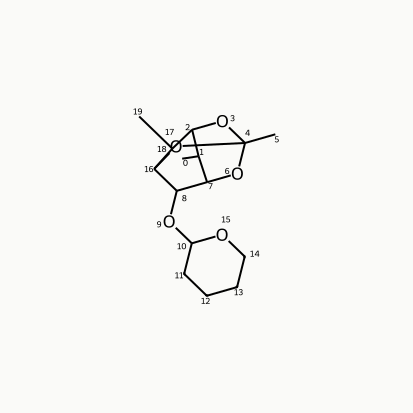 CC1C2OC3(C)OC1C(OC1CCCCO1)C(O3)C2C